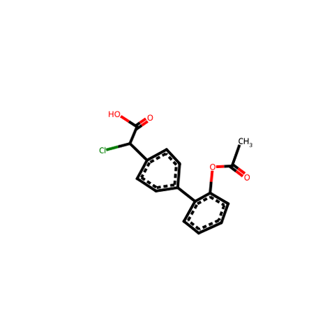 CC(=O)Oc1ccccc1-c1ccc(C(Cl)C(=O)O)cc1